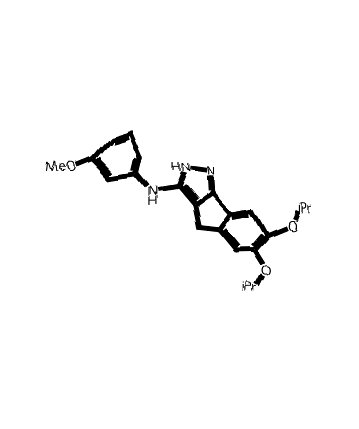 COc1cccc(Nc2[nH]nc3c2Cc2cc(OC(C)C)c(OC(C)C)cc2-3)c1